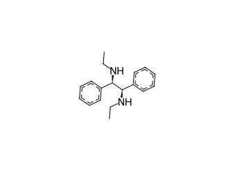 CCN[C@H](c1ccccc1)[C@H](NCC)c1ccccc1